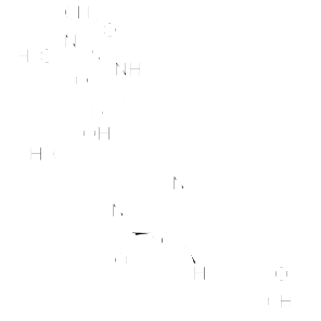 COc1ccc2c(c1)[C@@H]1C[C@]1(C(=O)N1CCC(C)(O)CC1)Cn1c-2c(C2CCCCC2)c2ccc(C(=O)NS(=O)(=O)N(C)C)cc21